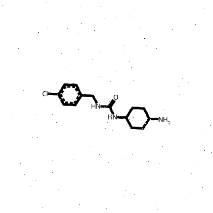 NC1CCC(NC(=O)NCc2ccc(Cl)cc2)CC1